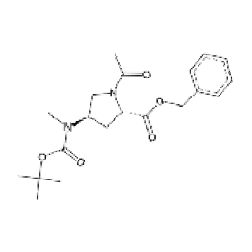 CC(=O)N1C[C@H](N(C)C(=O)OC(C)(C)C)C[C@H]1C(=O)OCc1ccccc1